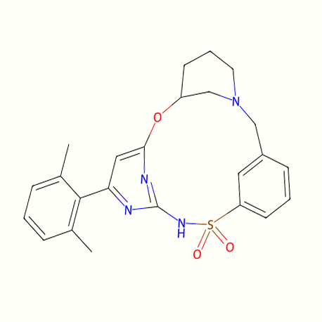 Cc1cccc(C)c1-c1cc2nc(n1)NS(=O)(=O)c1cccc(c1)CN1CCCC(C1)O2